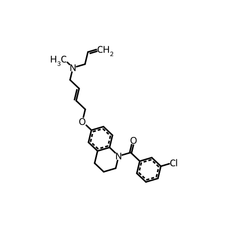 C=CCN(C)CC=CCOc1ccc2c(c1)CCCN2C(=O)c1cccc(Cl)c1